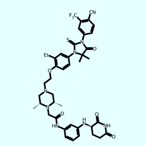 CCc1cc(N2C(=S)N(c3ccc(C#N)c(C(F)(F)F)c3)C(=O)C2(C)C)ccc1OCCN1C[C@@H](C)N(CC(=O)Nc2cccc(N[C@@H]3CCC(=O)NC3=O)c2)[C@@H](C)C1